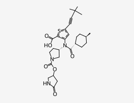 CC(C)(C)C#Cc1cc(N(C(=O)[C@H]2CC[C@H](C)CC2)[C@H]2CCN(C(=O)OC3CNC(=O)C3)C2)c(C(=O)O)s1